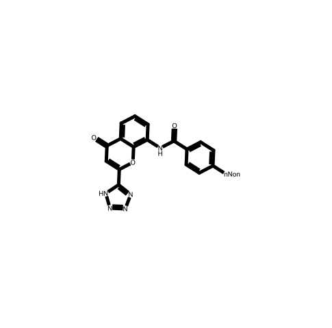 CCCCCCCCCc1ccc(C(=O)Nc2cccc3c(=O)cc(-c4nnn[nH]4)oc23)cc1